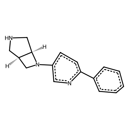 c1ccc(-c2ccc(N3C[C@H]4CNC[C@H]43)cn2)cc1